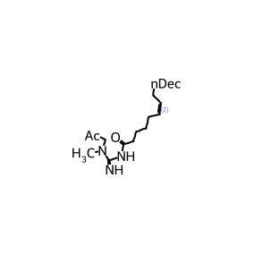 CCCCCCCCCCC/C=C\CCCCC(=O)NC(=N)N(C)CC(C)=O